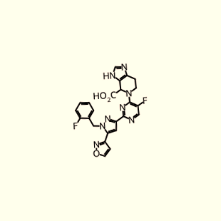 O=C(O)C1c2[nH]cnc2CCN1c1nc(-c2cc(-c3ccon3)n(Cc3ccccc3F)n2)ncc1F